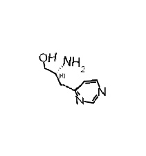 N[C@@H](CO)Cc1ccncn1